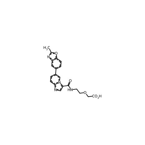 Cc1nc2cc(-c3ccc4ncc(C(=O)NCCOCC(=O)O)n4c3)ccc2o1